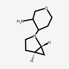 NC1COCCC1N1CC[C@@H]2C[C@H]21